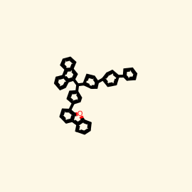 c1ccc(-c2ccc(-c3ccc(C(c4ccc(-c5cccc6c5oc5ccccc56)cc4)c4cc5ccccc5c5ccccc45)cc3)cc2)cc1